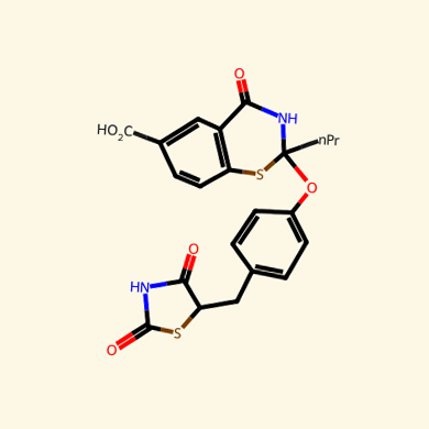 CCCC1(Oc2ccc(CC3SC(=O)NC3=O)cc2)NC(=O)c2cc(C(=O)O)ccc2S1